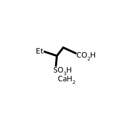 [CH2]CC(CC(=O)O)S(=O)(=O)O.[CaH2]